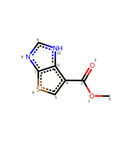 COC(=O)c1csc2nc[nH]c12